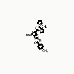 Cc1ccc(C(=O)Nc2nc3c(s2)c(C(=O)N2CCCC2(C)CN2CCCC2)nn3C(C)(C)C)cc1